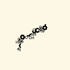 Cc1ccc(F)c(S(=O)(=O)N2CCC3(CC2)CC(NCC(O)COc2cccc(S(=O)(=O)NCCCN(C)C)c2)CO3)c1